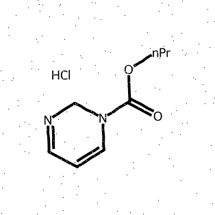 CCCOC(=O)N1C=CC=NC1.Cl